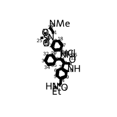 CCNC(=O)c1ccc2c(c1)NC(=O)/C2=C(\Nc1ccc(N(CCNC)S(C)(=O)=O)cc1)c1ccccc1.Cl